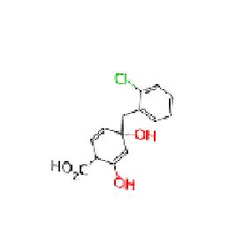 O=C(O)C1C=CC(O)(Cc2ccccc2Cl)C=C1O